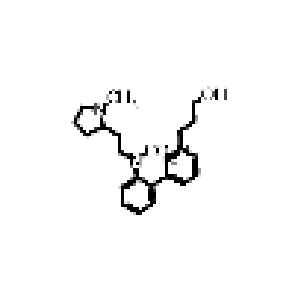 CN1CCCC1CCN(C(=O)O)c1ccccc1-c1cccc(CCCO)c1